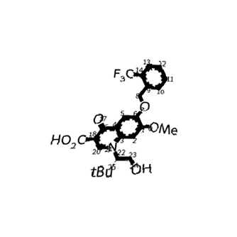 COc1cc2c(cc1OCc1ccccc1C(F)(F)F)c(=O)c(C(=O)O)cn2[C@H](CO)C(C)(C)C